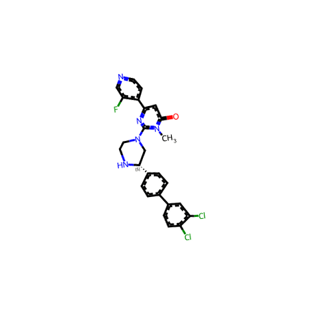 Cn1c(N2CCN[C@@H](c3ccc(-c4ccc(Cl)c(Cl)c4)cc3)C2)nc(-c2ccncc2F)cc1=O